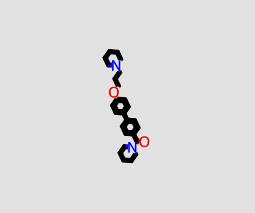 O=C(c1ccc(-c2ccc(OCCCN3CCCCC3)cc2)cc1)N1CCCCC1